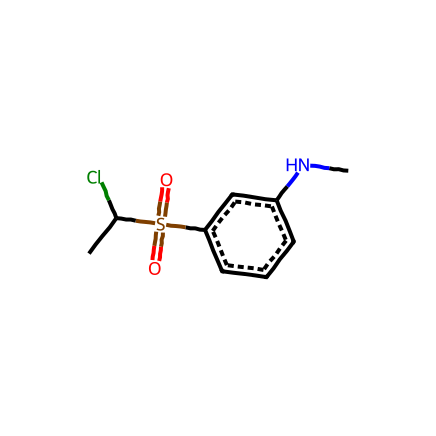 CNc1cccc(S(=O)(=O)C(C)Cl)c1